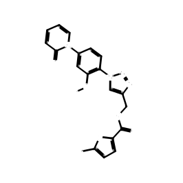 O=C(NCc1cn(-c2ccc(-n3ccccc3=O)cc2SO)nn1)c1ccc(Cl)s1